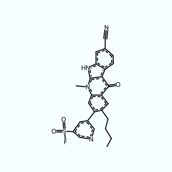 CCCCc1cc2c(=O)c3c4ccc(C#N)cc4[nH]c3n(C)c2cc1-c1cncc(S(=O)(=O)F)c1